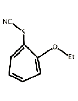 [CH2]COc1ccccc1SC#N